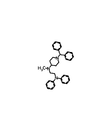 CN(CCN(c1ccccc1)c1ccccc1)C1CCN(C(c2ccccc2)c2ccccc2)CC1